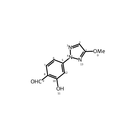 COc1cnn(-c2ccc(C=O)c(O)c2)n1